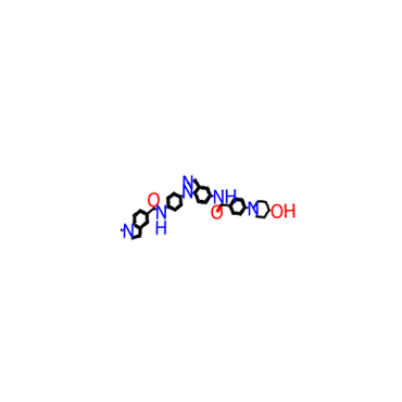 Cn1ccc2cc(C(=O)Nc3ccc(-n4ncc5cc(NC(=O)c6ccc(N7CCC(O)CC7)cc6)ccc54)cc3)ccc21